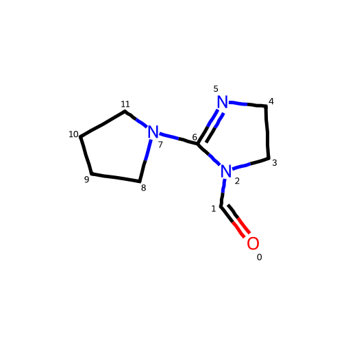 O=CN1CCN=C1N1CCCC1